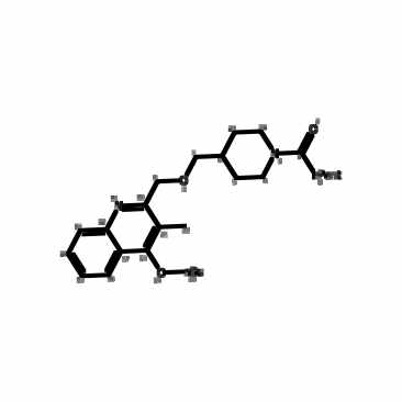 CCCCCC(=O)N1CCC(COCc2nc3ccccc3c(OCCCC)c2C)CC1